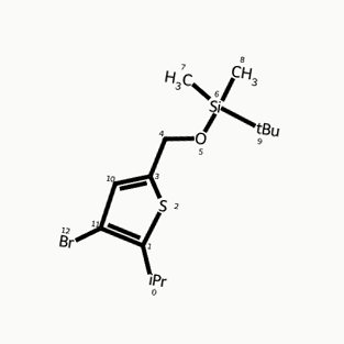 CC(C)c1sc(CO[Si](C)(C)C(C)(C)C)cc1Br